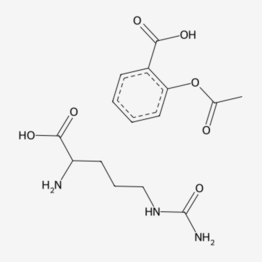 CC(=O)Oc1ccccc1C(=O)O.NC(=O)NCCCC(N)C(=O)O